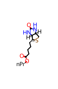 CCCOC(=O)CCCC[C@@H]1SC[C@@H]2NC(=O)N[C@@H]21